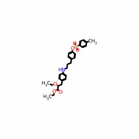 CCOC(=O)C(Cc1ccc(NCCCc2ccc(OS(=O)(=O)c3ccc(C)cc3)cc2)cc1)OCC